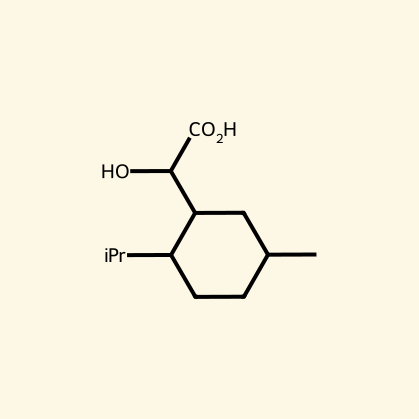 CC1CCC(C(C)C)C(C(O)C(=O)O)C1